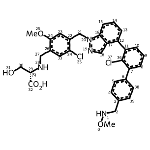 CONCc1ccc(-c2cccc(-c3cccc4c3cnn4Cc3cc(OC)c(CN[C@@H](CO)C(=O)O)cc3Cl)c2Cl)cc1